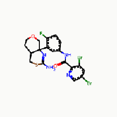 NC1=NC2(c3cc(NC(=O)c4ncc(Br)cc4Br)ccc3F)COCCC2CS1